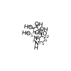 O=[N+]([O-])c1cccc2[nH]cnc12.OC[C@H]1OC(O)[C@H](O)[C@@H]1O